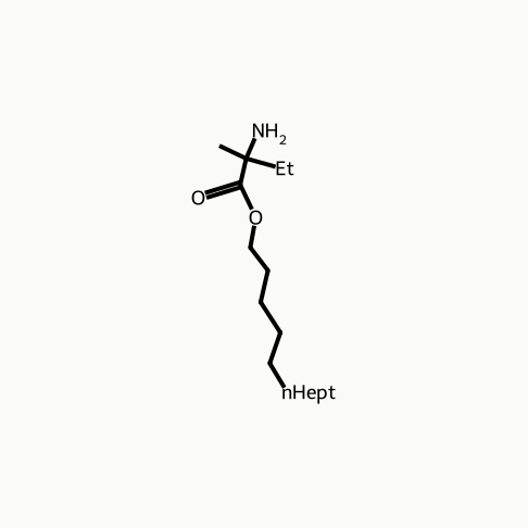 CCCCCCCCCCCCOC(=O)C(C)(N)CC